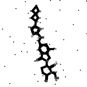 O=C1CCC(N2Cc3c(F)cc(CNc4nnc(C5CC6(CCC6)C5)o4)cc3C2=O)C(=O)N1CO